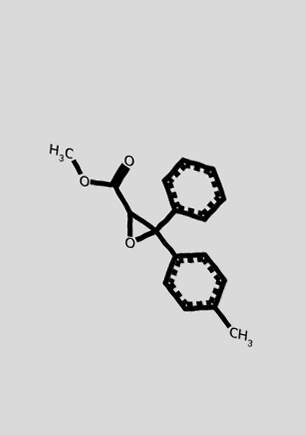 COC(=O)C1OC1(c1ccccc1)c1ccc(C)cc1